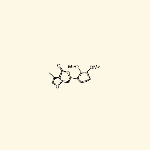 COc1cccc(-c2cc3occ(C)c3c(=O)o2)c1OC